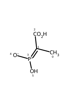 C/C(C(=O)O)=[P+](/[O-])O